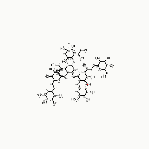 NC1C(O)[C@H](O)C(CO)O[C@H]1OCC(O)C1O[C@H](OC2C(O)[C@@H](O[C@H]3C(O)C[C@](O)(C(=O)O)OC3C(O)CO)OC(C(O)CO)[C@@H]2OC2=C(O)C(O)[C@H](O)C(CO[C@@H]3OC(C(=O)O)[C@H](O)C(O)C3N)O2)[C@H](O[C@@H]2OC(C(=O)O)[C@@H](O)C(O)[C@H]2O)C(O)[C@@H]1O